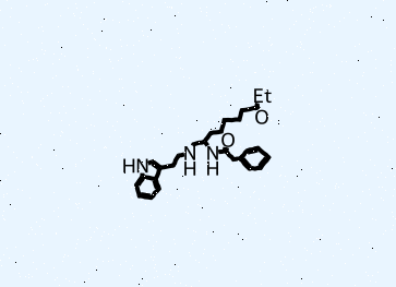 CCC(=O)CCCCCC(CNCCc1c[nH]c2ccccc12)NC(=O)Cc1ccccc1